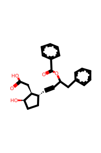 O=C(O)C[C@@H]1[C@H](O)CC[C@H]1C#CC(Cc1ccccc1)OC(=O)c1ccccc1